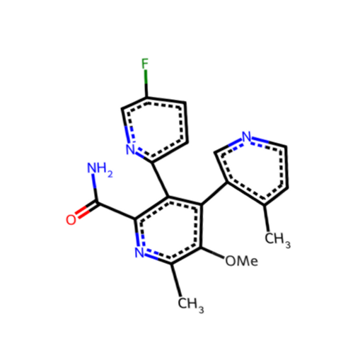 COc1c(C)nc(C(N)=O)c(-c2ccc(F)cn2)c1-c1cnccc1C